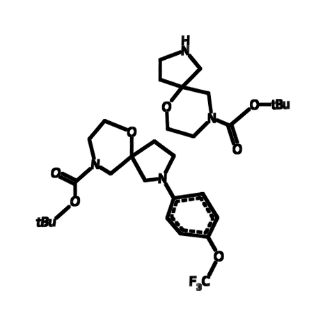 CC(C)(C)OC(=O)N1CCOC2(CCN(c3ccc(OC(F)(F)F)cc3)C2)C1.CC(C)(C)OC(=O)N1CCOC2(CCNC2)C1